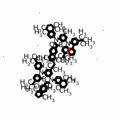 Cc1cc2c3c(c1)N(c1ccc4c(c1)C(C)(C)CCC4(C)C)c1oc4cc5c(cc4c1B3c1cc(C(C)(C)C)ccc1N2c1ccc(C(C)(C)C)cc1-c1ccccc1)C1(C)CC5(C)CC1CC(C)(C)c1cc2c3c(c1)N(c1ccc4c(c1)C(C)(C)CCC4(C)C)c1oc4cc5c(cc4c1B3c1cc(C(C)(C)C)ccc1N2c1ccc(C(C)(C)C)cc1)C1(C)CCC5(C)C1